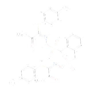 COC(=O)/C(=N\OS(=O)(=O)Cc1ccccc1CS(=O)(=O)O/N=C(/Sc1ccc(C)cc1)C(=O)OC)Sc1ccc(C)cc1